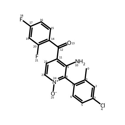 Cc1cc(Cl)ccc1-c1c(N)c(C(=O)c2ccc(F)cc2F)cc[n+]1[O-]